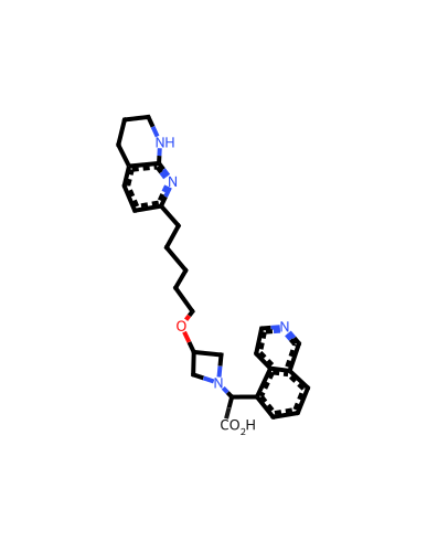 O=C(O)C(c1cccc2cnccc12)N1CC(OCCCCCc2ccc3c(n2)NCCC3)C1